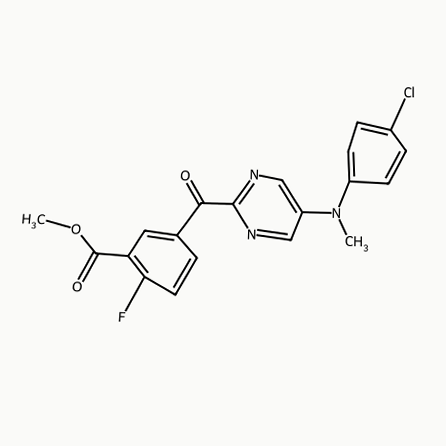 COC(=O)c1cc(C(=O)c2ncc(N(C)c3ccc(Cl)cc3)cn2)ccc1F